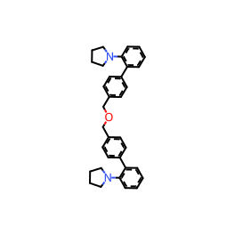 c1ccc(N2CCCC2)c(-c2ccc(COCc3ccc(-c4ccccc4N4CCCC4)cc3)cc2)c1